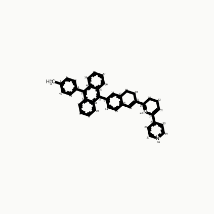 Cc1ccc(-c2c3ccccc3c(-c3ccc4c(c3)CCC(C3=NC(c5ccncc5)=CCC3)=C4)c3ccccc23)cc1